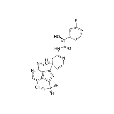 [2H]C([2H])([2H])c1nc(C2(C)C=CN=C(NC(=O)[C@@H](O)c3cccc(F)c3)C2)c2c(N)ncc(C)n12